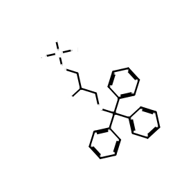 CC(C)(C)[Si](C)(C)OCC(S)CSC(c1ccccc1)(c1ccccc1)c1ccccc1